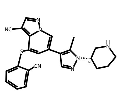 Cc1c(-c2cc(Sc3ccccc3C#N)c3c(C#N)cnn3c2)cnn1[C@H]1CCCNC1